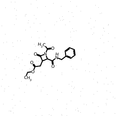 CCOC(=O)CC1C(=O)N(C(C)=O)C1C(=O)NCc1ccccc1